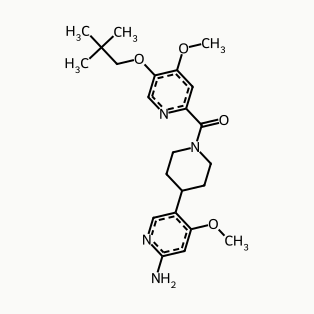 COc1cc(C(=O)N2CCC(c3cnc(N)cc3OC)CC2)ncc1OCC(C)(C)C